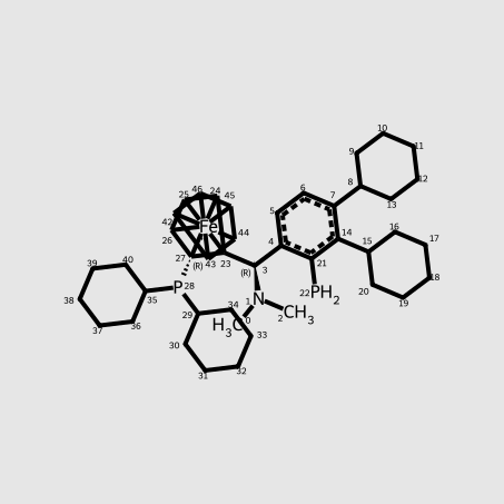 CN(C)[C@H](c1ccc(C2CCCCC2)c(C2CCCCC2)c1P)[C]12[CH]3[CH]4[CH]5[C@@]1(P(C1CCCCC1)C1CCCCC1)[Fe]43521678[CH]2[CH]1[CH]6[CH]7[CH]28